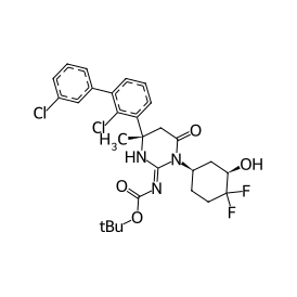 CC(C)(C)OC(=O)/N=C1\N[C@](C)(c2cccc(-c3cccc(Cl)c3)c2Cl)CC(=O)N1[C@@H]1CCC(F)(F)[C@H](O)C1